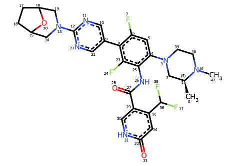 C[C@H]1CN(c2cc(F)c(-c3cnc(N4CC5CCC(C4)O5)nc3)c(F)c2NC(=O)c2c[nH]c(=O)cc2C(F)F)CCN1C